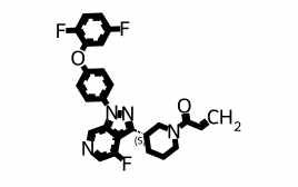 C=CC(=O)N1CCC[C@H](c2nn(-c3ccc(Oc4cc(F)ccc4F)cc3)c3cncc(F)c23)C1